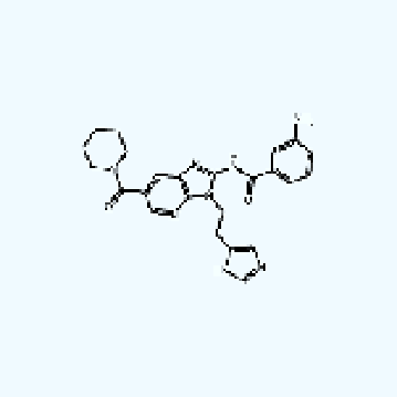 Nc1cccc(C(=O)Nc2nc3cc(C(=O)N4CCCCC4)cnc3n2CCc2cnc[nH]2)c1